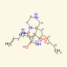 C=CCNC(=O)N1CCNCC1(CCCCCC)C1=C(C)C(=O)NC1=O